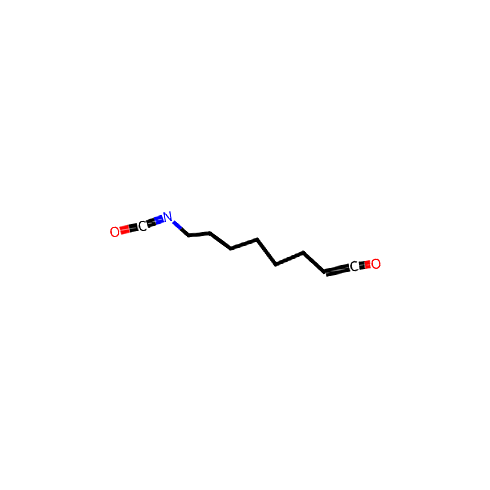 O=C=CCCCCCCN=C=O